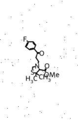 COC(=O)C1N(CCC(=O)c2ccc(F)cc2)CSC1(C)C